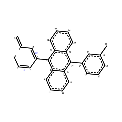 C=C/C=C(\C=C/C)c1c2ccccc2c(-c2cccc(C)c2)c2ccccc12